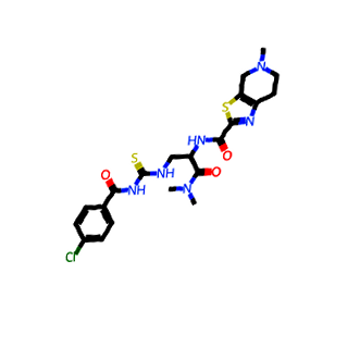 CN1CCc2nc(C(=O)NC(CNC(=S)NC(=O)c3ccc(Cl)cc3)C(=O)N(C)C)sc2C1